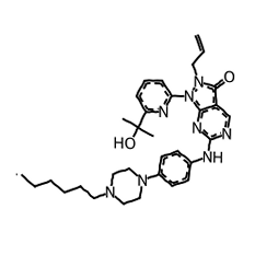 [CH2]CCCCCN1CCN(c2ccc(Nc3ncc4c(=O)n(CC=C)n(-c5cccc(C(C)(C)O)n5)c4n3)cc2)CC1